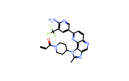 C=CC(=O)N1CCC(n2c(C)nc3cnc4ccc(-c5cnc(N)c(C(F)(F)F)c5)nc4c32)CC1